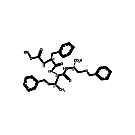 C[C@@H](OCc1ccccc1)[C@H](NC(=O)[C@H](Cc1ccccc1)NC(=O)OC(C)(C)C)C(=O)N[C@@H](COCc1ccccc1)C(=O)O